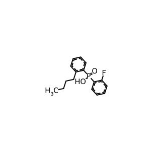 CCCCc1ccccc1P(=O)(O)c1ccccc1F